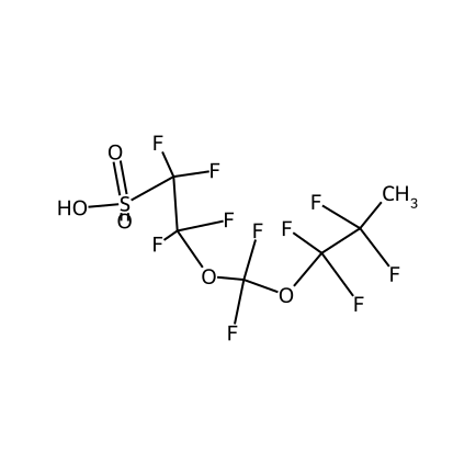 CC(F)(F)C(F)(F)OC(F)(F)OC(F)(F)C(F)(F)S(=O)(=O)O